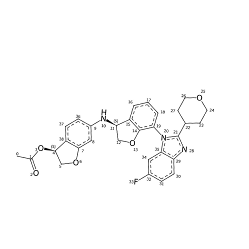 CC(=O)O[C@@H]1COc2cc(N[C@@H]3COc4c3cccc4-n3c(C4CCOCC4)nc4ccc(F)cc43)ccc21